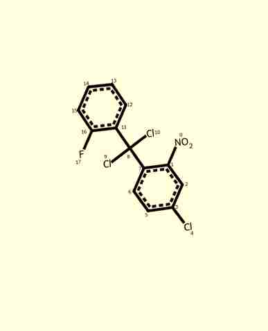 O=[N+]([O-])c1cc(Cl)ccc1C(Cl)(Cl)c1ccccc1F